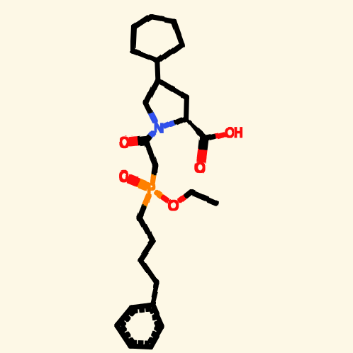 CCOP(=O)(CCCCc1ccccc1)CC(=O)N1CC(C2CCCCC2)C[C@H]1C(=O)O